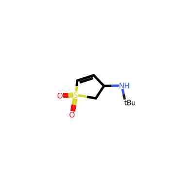 CC(C)(C)NC1C=CS(=O)(=O)C1